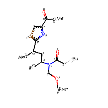 CCCCCOCN(C(=O)C[C@@H](C)CC)[C@H](C[C@@H](OC)c1nc(C(=O)OC)cs1)C(C)C